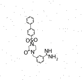 N=C(N)c1cccc(CN2CCN(S(=O)(=O)c3ccc(-c4ccccc4)cc3)CC2=O)c1